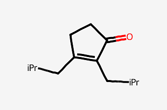 CC(C)CC1=C(CC(C)C)C(=O)CC1